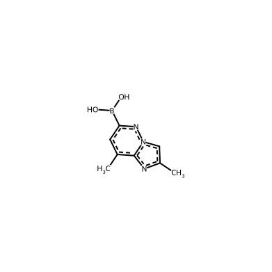 Cc1cn2nc(B(O)O)cc(C)c2n1